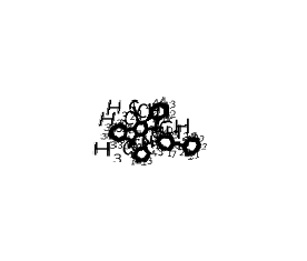 CC(C)(C)c1c2c(c(N(c3ccccc3)c3ccc(-c4ccccc4)cc3)c3c1-c1ccccc1C3(C)C)C(C)(C)c1ccccc1-2